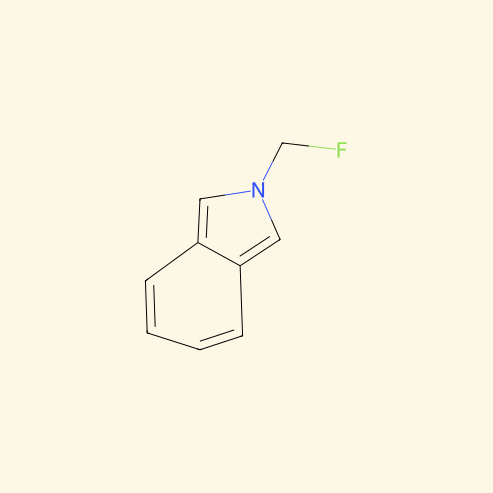 FCn1cc2ccccc2c1